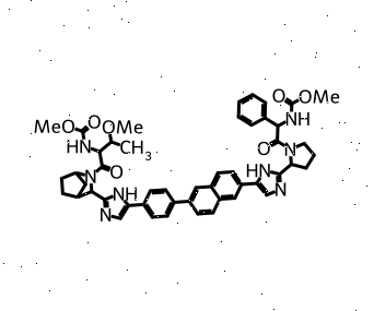 COC(=O)NC(C(=O)N1CCCC1c1ncc(-c2ccc3cc(-c4ccc(-c5cnc(C6C7CCC(C7)N6C(=O)C(NC(=O)OC)C(C)OC)[nH]5)cc4)ccc3c2)[nH]1)c1ccccc1